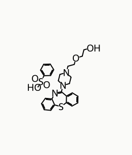 O=S(=O)(O)c1ccccc1.OCCOCCN1CCN(C2=Nc3ccccc3Sc3ccccc32)CC1